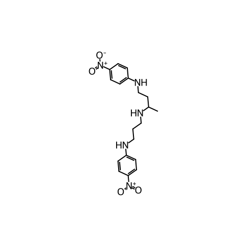 CC(CCNc1ccc([N+](=O)[O-])cc1)NCCCNc1ccc([N+](=O)[O-])cc1